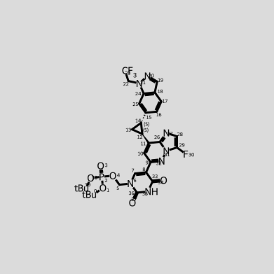 CC(C)(C)OP(=O)(OCn1cc(-c2cc([C@H]3C[C@@H]3c3ccc4cnn(CC(F)(F)F)c4c3)c3ncc(F)n3n2)c(=O)[nH]c1=O)OC(C)(C)C